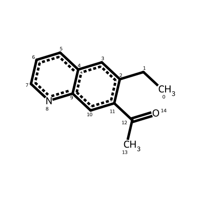 CCc1cc2cccnc2cc1C(C)=O